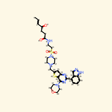 C/C=C/C(=O)CCC(=O)NCCS(=O)(=O)N1CCN(Cc2cc3nc(-c4cccc5[nH]ncc45)nc(N4CCOCC4)c3s2)CC1